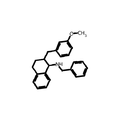 COc1cccc(CC2CCc3ccccc3C2NCc2ccccc2)c1